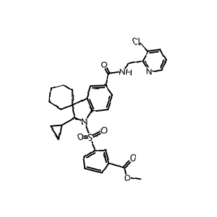 COC(=O)c1cccc(S(=O)(=O)N2c3ccc(C(=O)NCc4ncccc4Cl)cc3C3(CCCCC3)C2C2CC2)c1